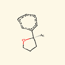 CC(=O)[C@]1(c2ccccc2)CCCO1